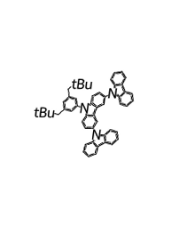 CC(C)(C)Cc1cc(CC(C)(C)C)cc(-n2c3ccc(-n4c5ccccc5c5ccccc54)cc3c3cc(-n4c5ccccc5c5ccccc54)ccc32)c1